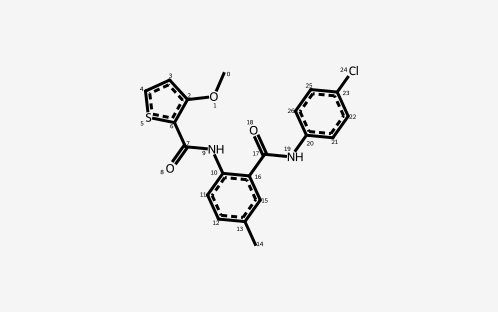 COc1ccsc1C(=O)Nc1ccc(C)cc1C(=O)Nc1ccc(Cl)cc1